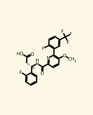 COc1ccc(C(=O)N[C@@H](CC(=O)O)c2ccccc2F)nc1-c1cc(C(F)(F)F)ccc1F